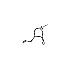 C=CCC1CCN(C)CC1=O